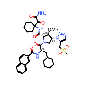 CO[C@@H]1[C@@H](C(=O)NC2(C(=O)C(N)=O)CCCCC2)N(C(=O)[C@@H](CC2CCCCC2)NC(=O)c2ccc3ccccc3c2)C[C@H]1n1nncc1CS(C)(=O)=O